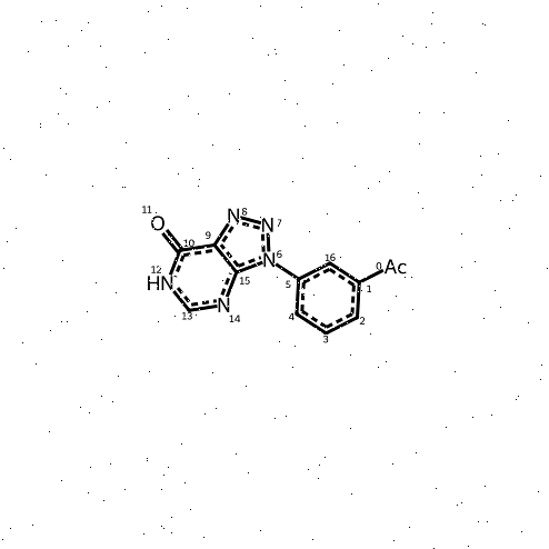 CC(=O)c1cccc(-n2nnc3c(=O)[nH]cnc32)c1